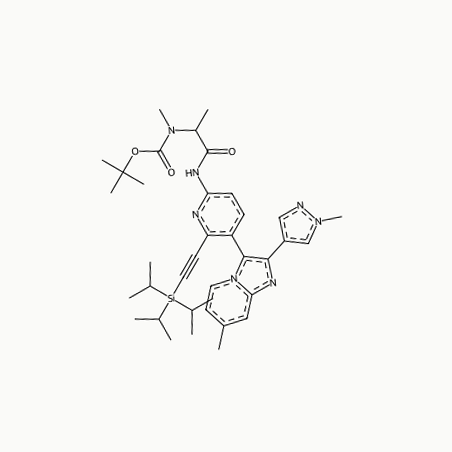 Cc1ccn2c(-c3ccc(NC(=O)C(C)N(C)C(=O)OC(C)(C)C)nc3C#C[Si](C(C)C)(C(C)C)C(C)C)c(-c3cnn(C)c3)nc2c1